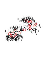 C=CCC1O[C@@H]([C@H](/C=C/C(=O)CCC2CC(=C)[C@H](CC[C@H]3C[C@@H](C)C(=C)C(C[C@@H]4OC(C[C@@H](CO[Si](C)(C)C(C)(C)C)O[Si](C)(C)C(C)(C)C)[C@H](OC)[C@H]4CC(=O)OC)O3)O2)O[Si](C)(C)C(C)(C)C)C(O[Si](C)(C)C(C)(C)C)C(O[Si](C)(C)C(C)(C)C)[C@H]1OC(=O)c1ccccc1